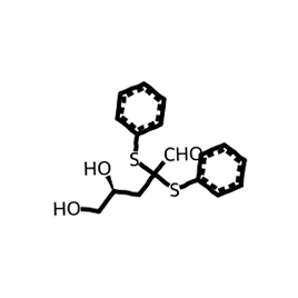 O=CC(C[C@H](O)CO)(Sc1ccccc1)Sc1ccccc1